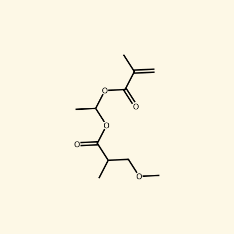 C=C(C)C(=O)OC(C)OC(=O)C(C)COC